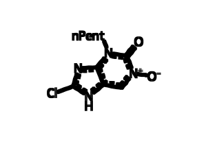 CCCCCn1c(=O)[n+]([O-])cc2[nH]c(Cl)nc21